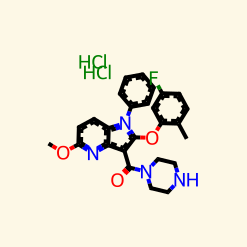 COc1ccc2c(n1)c(C(=O)N1CCNCC1)c(Oc1cc(F)ccc1C)n2-c1ccccc1.Cl.Cl